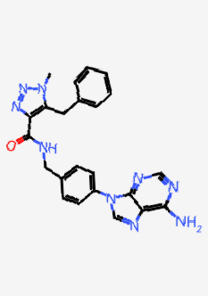 Cn1nnc(C(=O)NCc2ccc(-n3cnc4c(N)ncnc43)cc2)c1Cc1ccccc1